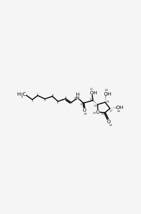 CCCCCCC=CNC(=O)C(O)[C@H]1OC(=O)[C@@H](O)[C@H]1O